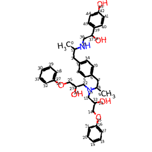 CC(Cc1ccc(CC(C)N(CC(O)COc2ccccc2)CC(O)COc2ccccc2)cc1)NCC(O)c1ccc(O)cc1